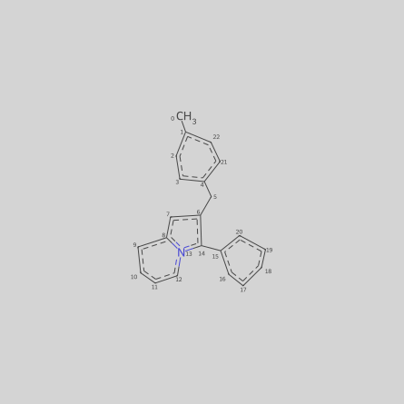 Cc1ccc(Cc2cc3ccccn3c2-c2ccccc2)cc1